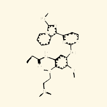 C=CC(=O)Nc1cc(Nc2nccc(-c3nc(NC)n4ccccc34)n2)c(OC)cc1N(C)CCN(C)C